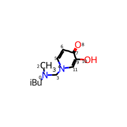 CCC(C)N(C)Cn1ccc(=O)c(O)c1